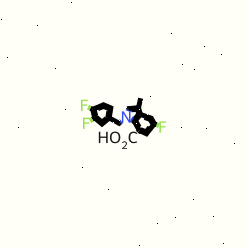 Cc1cn(Cc2ccc(F)c(F)c2)c2c(C(=O)O)cc(F)cc12